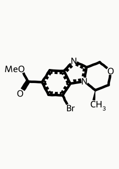 COC(=O)c1cc(Br)c2c(c1)nc1n2[C@H](C)COC1